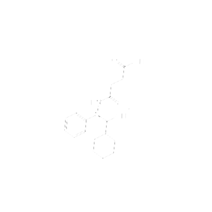 C=C(CCC(=O)O)NN(c1ccccc1)C(O)C1CCCCC1